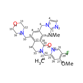 CNc1nccn1Cc1cc(CN2CCOCC2)c2c(c1)C(=O)N([C@@H](C)c1cc(OC)c(F)cn1)CC2